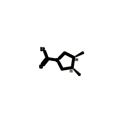 CCC(=O)N1C[C@@H](C)[C@@H](C)C1